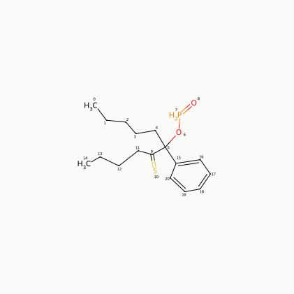 CCCCCC(O[PH2]=O)(C(=S)CCCC)c1ccccc1